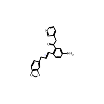 Nc1ccc(/C=C/Cc2ccc3c(c2)OCO3)c(C(=O)Cc2cccnc2)c1